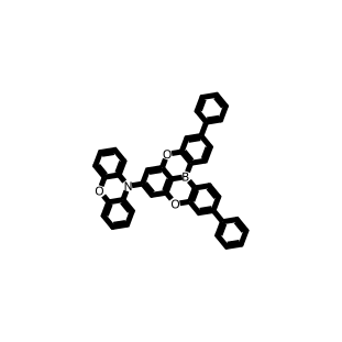 c1ccc(-c2ccc3c(c2)Oc2cc(N4c5ccccc5Oc5ccccc54)cc4c2B3c2ccc(-c3ccccc3)cc2O4)cc1